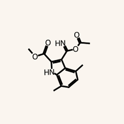 COC(=O)c1[nH]c2c(C)ccc(C)c2c1C(=N)OC(C)=O